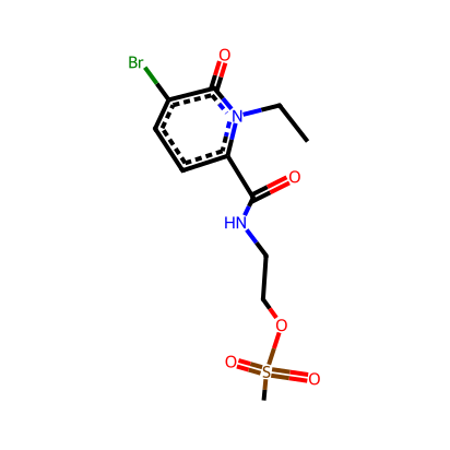 CCn1c(C(=O)NCCOS(C)(=O)=O)ccc(Br)c1=O